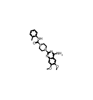 COc1cc2nc(N3CCN(C(=O)Nc4ccccc4C)CC3)nc(N)c2cc1OC